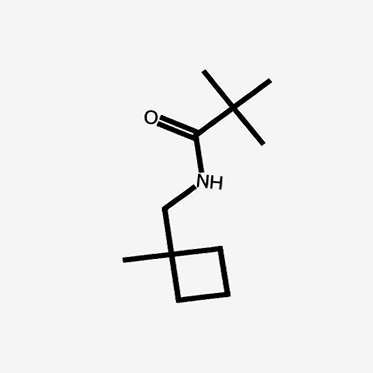 CC1(CNC(=O)C(C)(C)C)CCC1